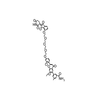 CCOc1cc2oc(-c3ccc(OCCOCCOCCOCCOc4cccc5c4C(=O)N(C4CCC(=O)NC4=O)C5=O)cc3Cl)cc(=O)c2cc1-c1cc(C)cc(C(N)=O)c1